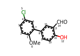 COc1ccc(Cl)cc1-c1ccc(O)c(C=O)c1